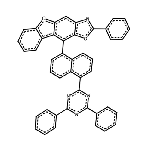 c1ccc(-c2nc(-c3ccccc3)nc(-c3cccc4c(-c5c6oc(-c7ccccc7)nc6cc6oc7ccccc7c56)cccc34)n2)cc1